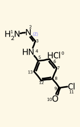 Cl.N/N=C\Nc1ccc(C(=O)Cl)cc1